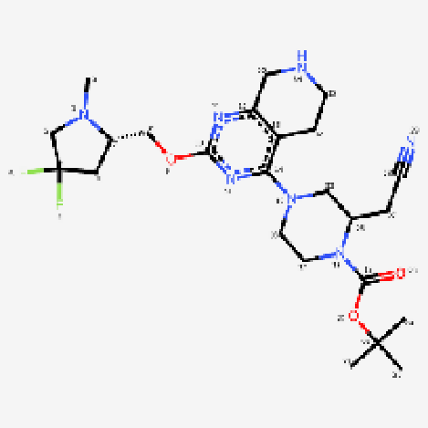 CN1CC(F)(F)C[C@H]1COc1nc2c(c(N3CCN(C(=O)OC(C)(C)C)C(CC#N)C3)n1)CCNC2